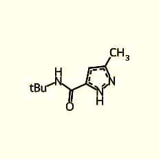 Cc1cc(C(=O)NC(C)(C)C)[nH]n1